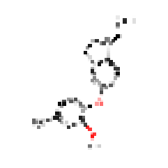 CCCOc1cc(C(F)(F)F)ccc1Oc1ccc2c(c1)CC[C@H]2CC(=O)O